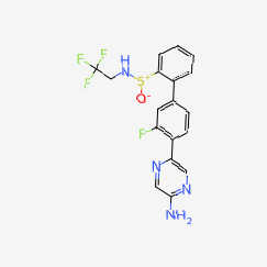 Nc1cnc(-c2ccc(-c3ccccc3[S+]([O-])NCC(F)(F)F)cc2F)cn1